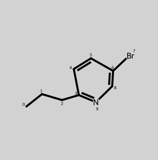 CC[CH]c1ccc(Br)cn1